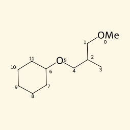 COCC(C)COC1CCCCC1